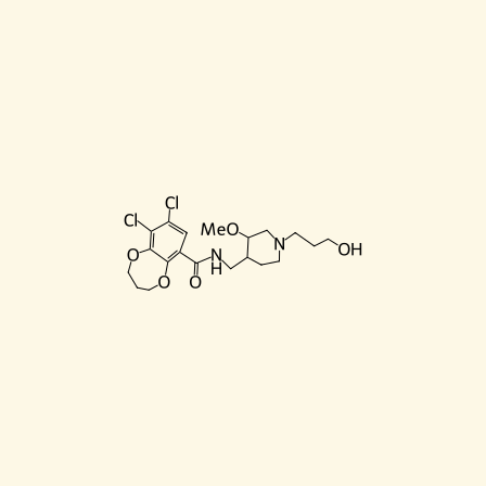 COC1CN(CCCO)CCC1CNC(=O)c1cc(Cl)c(Cl)c2c1OCCCO2